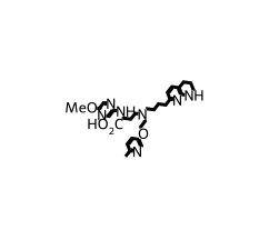 COc1cnc(N[C@@H](CCN(CCCCc2ccc3c(n2)NCCC3)CCOc2ccc(C)nc2)C(=O)O)cn1